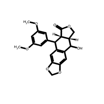 COc1cc(OC)cc(C2c3cc4c(cc3C(O)[C@H]3COC(=O)[C@@H]23)OCO4)c1